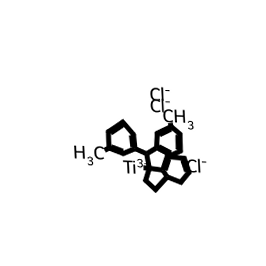 Cc1cccc(C(c2cccc(C)c2)[C]2([Ti+3])CCC3CC=CC=C32)c1.[Cl-].[Cl-].[Cl-]